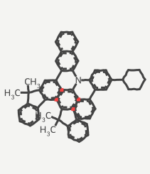 CC1(C)c2ccccc2-c2cc(N(c3ccc(C4CCCCC4)cc3-c3ccccc3)c3cc4ccccc4cc3-c3ccc4c(c3)C(C)(C)c3ccccc3-4)ccc21